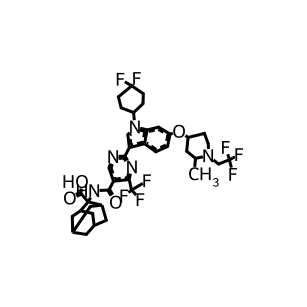 CC1CC(Oc2ccc3c(-c4ncc(C(=O)NC5(C(=O)O)C6CC7CC(C6)CC5C7)c(C(F)(F)F)n4)cn(C4CCC(F)(F)CC4)c3c2)CCN1CC(F)(F)F